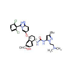 CN(C)CCn1nc(C(C)(C)C)cc1NC(=O)N[C@H]1CC[C@@H](Oc2ccc3nnc(-c4c(Cl)cccc4Cl)n3c2)c2ccccc21.O=CO